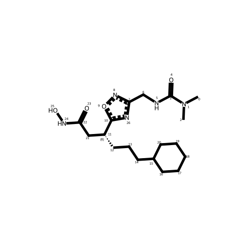 CN(C)C(=O)NCc1noc([C@H](CCCC2CCCCC2)CC(=O)NO)n1